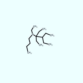 CCCCN(CC)C(CC)(CC)C(CC)CC